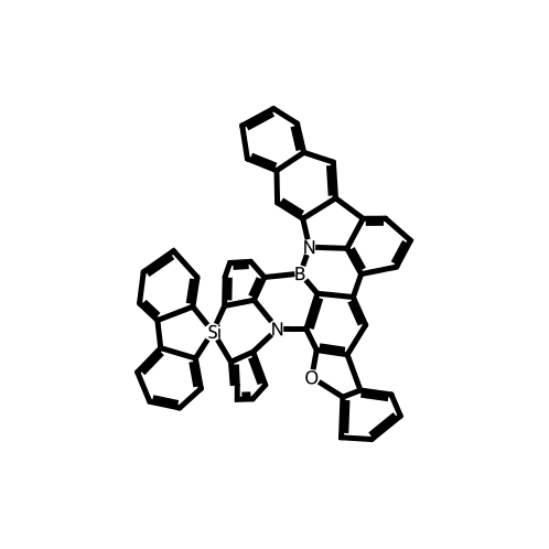 c1ccc2c(c1)-c1ccccc1[Si]21c2ccccc2N2c3c(cccc31)B1c3c(cc4c(oc5ccccc54)c32)-c2cccc3c4cc5ccccc5cc4n1c23